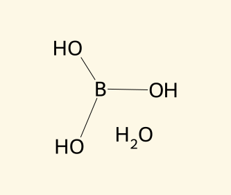 O.OB(O)O